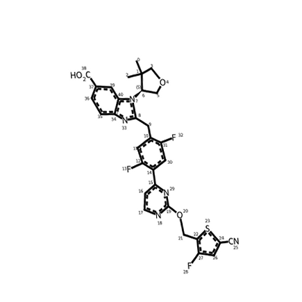 CC1(C)COC[C@H]1n1c(Cc2cc(F)c(-c3ccnc(OCc4sc(C#N)cc4F)n3)cc2F)nc2ccc(C(=O)O)cc21